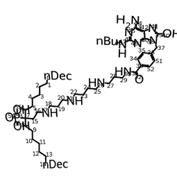 CCCCCCCCCCCCCCCCC(CCCCCCCCCCCCCCCC)(CCNCCCNCCCCNCCCNC(=O)c1ccc(Cn2c(O)nc3c(N)nc(NCCCC)nc32)cc1)P(=O)(O)O